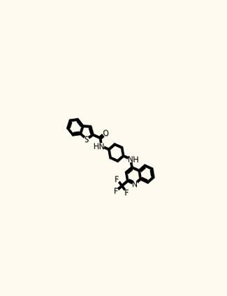 O=C(NC1CCC(Nc2cc(C(F)(F)F)nc3ccccc23)CC1)c1cc2ccccc2s1